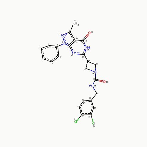 Cc1nn(-c2ccccc2)c2nc(C3CN(C(=O)NCc4ccc(Cl)c(Cl)c4)C3)[nH]c(=O)c12